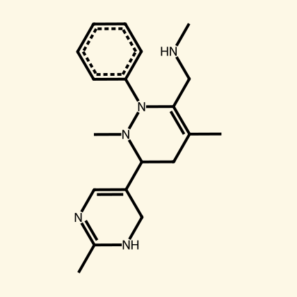 CNCC1=C(C)CC(C2=CN=C(C)NC2)N(C)N1c1ccccc1